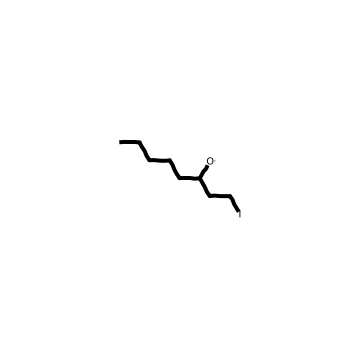 CCCCCC([O])CCI